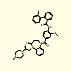 COc1cc(C(=O)N2CCC(=O)N(CC(=O)N3CCN(C)CC3)c3ccccc32)ccc1NC(=O)c1ccccc1-c1ccccc1C